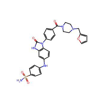 NS(=O)(=O)c1ccc(Nc2ccc3c(c2)[nH]c(=O)n3-c2ccc(C(=O)N3CCN(Cc4ccco4)CC3)cc2)cc1